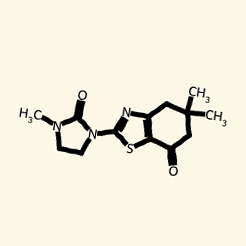 CN1CCN(c2nc3c(s2)C(=O)CC(C)(C)C3)C1=O